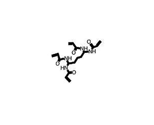 C=CC(=O)NC(CCCC(NC(=O)C=C)NC(=O)C=C)NC(=O)C=C